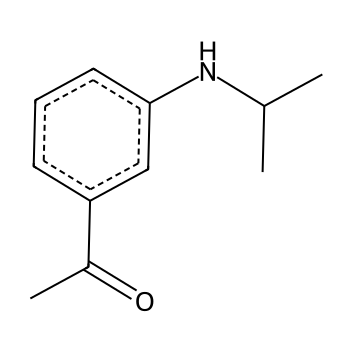 CC(=O)c1cccc(NC(C)C)c1